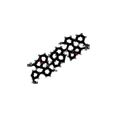 CC(C)(C)c1cccc(-c2ccc(F)c(N(c3ccccc3)c3ccc4ccc5c(N(c6ccccc6)c6c(F)ccc(-c7cccc(C(C)(C)C)c7)c6-c6cccc(C(C)(C)C)c6)ccc6ccc3c4c65)c2-c2cccc(C(C)(C)C)c2)c1